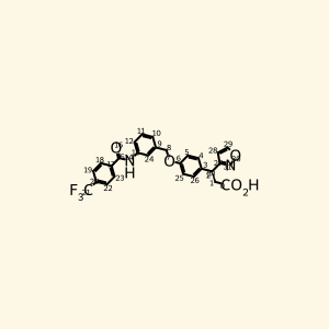 O=C(O)C[C@@H](c1ccc(OCc2cccc(NC(=O)c3ccc(C(F)(F)F)cc3)c2)cc1)c1ccon1